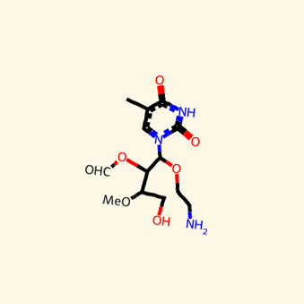 COC(CO)C(OC=O)C(OCCN)n1cc(C)c(=O)[nH]c1=O